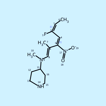 C/C=C(F)\C=C(/C(C)=CN(C)C1CCNCC1)[N+](=O)[O-]